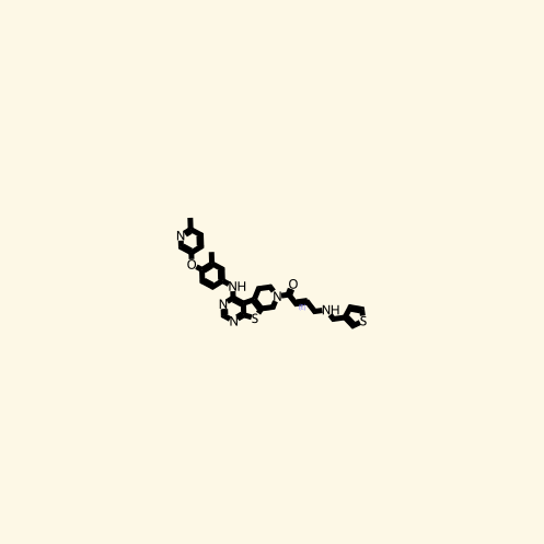 Cc1ccc(Oc2ccc(Nc3ncnc4sc5c(c34)CCN(C(=O)/C=C/CNCc3ccsc3)C5)cc2C)cn1